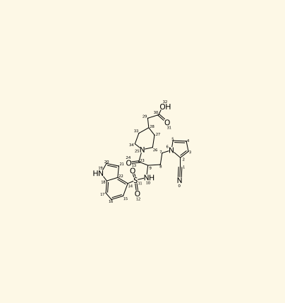 N#Cc1cccn1CCC(NS(=O)(=O)c1cccc2[nH]ccc12)C(=O)N1CCC(CC(=O)O)CC1